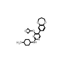 CC1CCC(Nc2ncc(-c3ccc4c(c3)OCCCO4)c(OC3COC3)n2)CC1